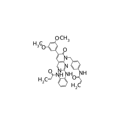 C=CC(=O)Nc1ccc(Cn2c(=O)c(-c3cc(OC)cc(OC)c3)cc3cnc(Nc4ccccc4NC(=O)C=C)nc32)cc1